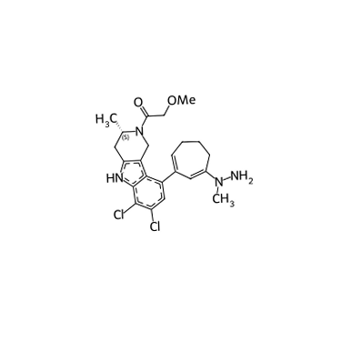 COCC(=O)N1Cc2c([nH]c3c(Cl)c(Cl)cc(C4=CCCCC(N(C)N)=C4)c23)C[C@@H]1C